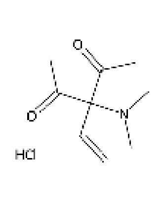 C=CC(C(C)=O)(C(C)=O)N(C)C.Cl